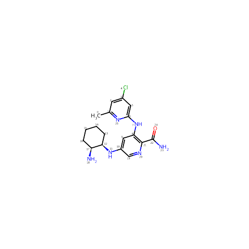 Cc1cc(Cl)cc(Nc2cc(N[C@@H]3CCCC[C@@H]3N)cnc2C(N)=O)n1